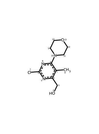 Cc1c(CO)nc(Cl)nc1N1CCOCC1